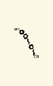 CCCc1ccc([C@H]2CC[C@H](CCCC[C@H]3CC[C@H](/C=C/C=C/C#N)CC3)CC2)cc1